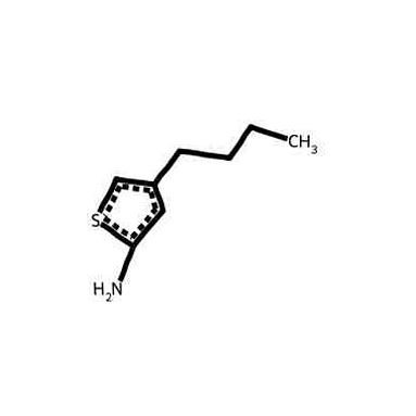 CCCCc1csc(N)c1